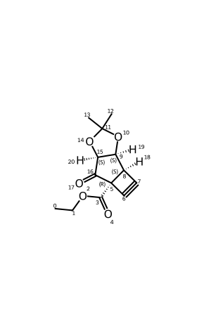 CCOC(=O)[C@@]12C#C[C@@H]1[C@@H]1OC(C)(C)O[C@@H]1C2=O